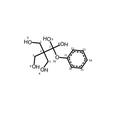 OCC(CO)(CO)C(O)(O)Oc1ccccc1